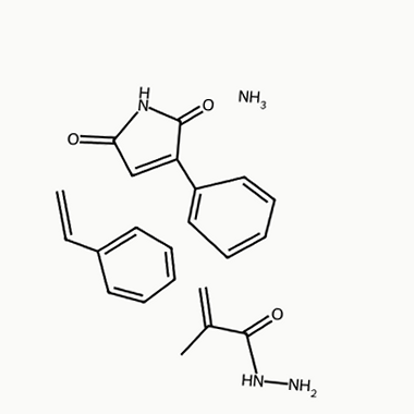 C=C(C)C(=O)NN.C=Cc1ccccc1.N.O=C1C=C(c2ccccc2)C(=O)N1